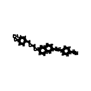 COc1ccc(COCOc2ccc3cc(C#Cc4ccc(C#N)cc4)ccc3c2)cc1